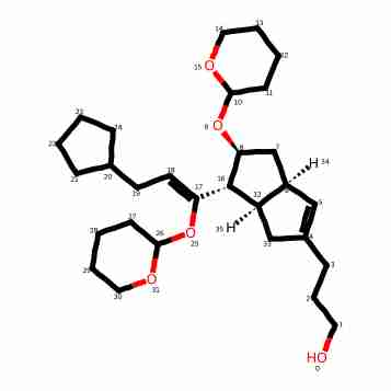 OCCCC1=C[C@@H]2C[C@H](OC3CCCCO3)[C@@H](C(=CCC3CCCC3)OC3CCCCO3)[C@@H]2C1